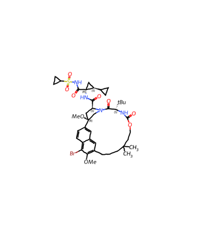 COc1c2cc3cc(ccc3c1Br)[C@]1(OC)C[C@@H](C(=O)N[C@]3(C(=O)NS(=O)(=O)C4CC4)C[C@H]3C3CC3)N(C1)C(=O)[C@H](C(C)(C)C)NC(=O)OCCC(C)(C)CCC2